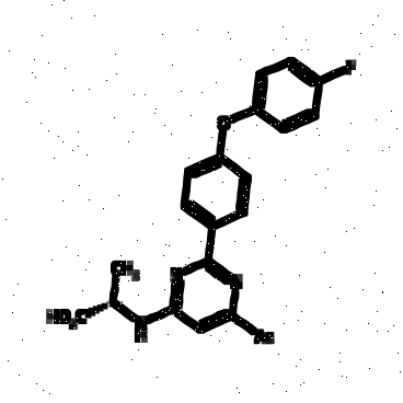 CC(=O)c1cc(N[C@@H](C)C(=O)O)nc(-c2ccc(Oc3ccc(F)cc3)cc2)n1